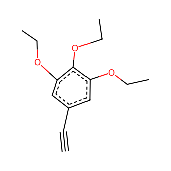 C#Cc1cc(OCC)c(OCC)c(OCC)c1